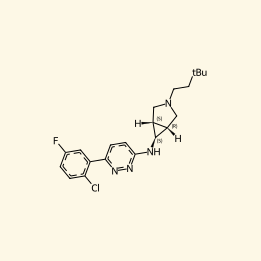 CC(C)(C)CCN1C[C@@H]2[C@H](C1)[C@H]2Nc1ccc(-c2cc(F)ccc2Cl)nn1